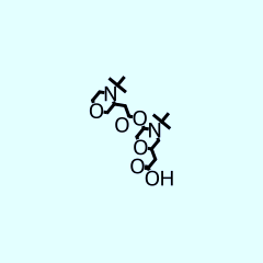 CC(C)(C)N1CCOCC1CC(=O)OC1COC(CC(=O)O)CN1C(C)(C)C